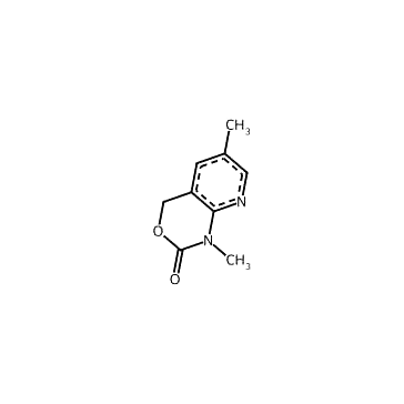 Cc1cnc2c(c1)COC(=O)N2C